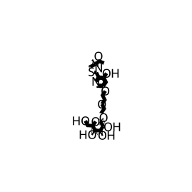 CC(=O)[C@@]1(C)CSC(c2ncc(OCCOCCO[C@H]3OC(CO)[C@H](O)[C@H](O)C3O)cc2O)=N1